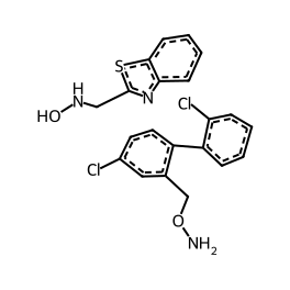 NOCc1cc(Cl)ccc1-c1ccccc1Cl.ONCc1nc2ccccc2s1